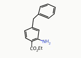 CCOC(=O)c1ccc(Cc2ccccc2)cc1N